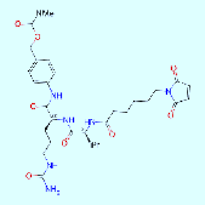 CNC(=O)OCc1ccc(NC(=O)[C@H](CCCNC(N)=O)NC(=O)[C@@H](NC(=O)CCCCCN2C(=O)C=CC2=O)C(C)C)cc1